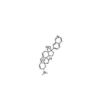 CN(C)[C@@H]1C=CC2=CC3=CC[C@@]4(C)[C@@H](CC[C@@]4(O)c4ccc5ccncc5c4)[C@@]34CC[C@]2(C1)O4